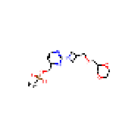 CS(=O)(=O)OCc1ccnc(N2CC(COCC3COCCO3)C2)n1